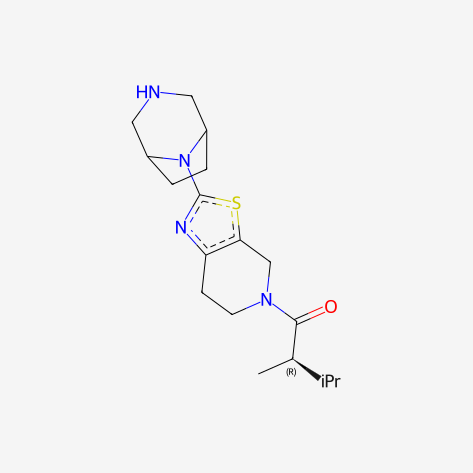 CC(C)[C@@H](C)C(=O)N1CCc2nc(N3C4CCC3CNC4)sc2C1